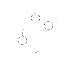 O=C(O)COc1ccc(F)c(NCCc2cc(-c3cccc(F)c3)ccc2F)c1F